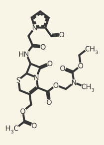 CCOC(=O)N(C)COC(=O)C1=C(COC(C)=O)CSC2C(NC(=O)Cn3cccc3C=O)C(=O)N12